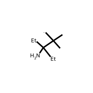 [CH2]C(C)(C)C(N)(CC)CC